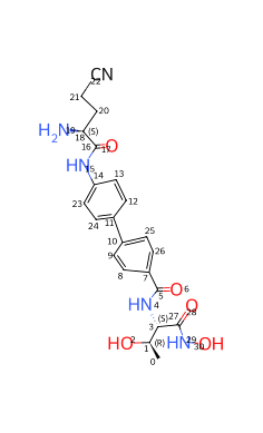 C[C@@H](O)[C@H](NC(=O)c1ccc(-c2ccc(NC(=O)[C@@H](N)CCC#N)cc2)cc1)C(=O)NO